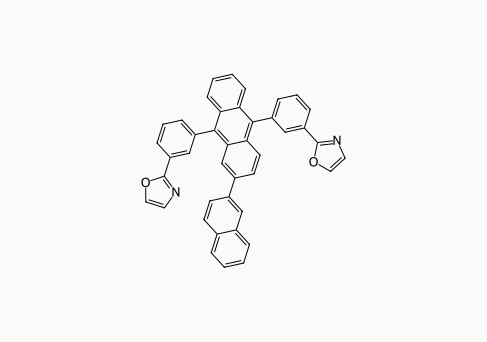 c1cc(-c2ncco2)cc(-c2c3ccccc3c(-c3cccc(-c4ncco4)c3)c3cc(-c4ccc5ccccc5c4)ccc23)c1